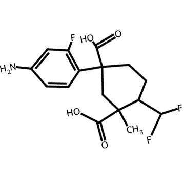 CC1(C(=O)O)CC(C(=O)O)(c2ccc(N)cc2F)CCC1C(F)F